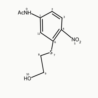 CC(=O)Nc1ccc([N+](=O)[O-])c(SCCO)c1